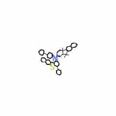 CC1(C)c2cc3ccccc3cc2C2(C)C=CC(N(c3ccc(-c4ccccc4)cc3)c3ccc(-c4ccccc4)c4sc5cc6ccccc6cc5c34)=CC12